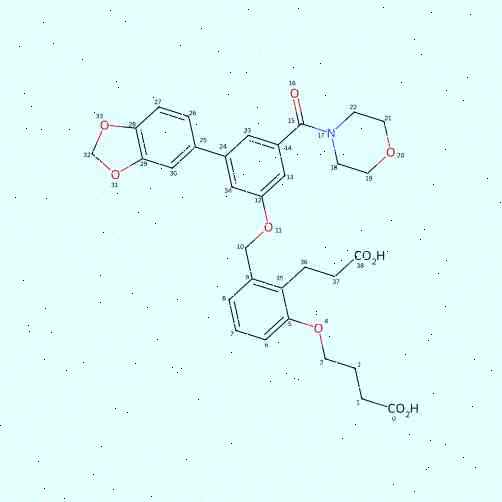 O=C(O)CCCOc1cccc(COc2cc(C(=O)N3CCOCC3)cc(-c3ccc4c(c3)OCO4)c2)c1CCC(=O)O